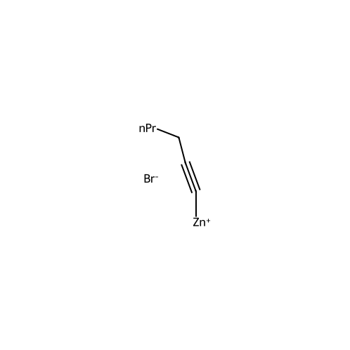 CCCCC#[C][Zn+].[Br-]